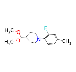 COC(OC)C1CCN(c2ccc(C)cc2F)CC1